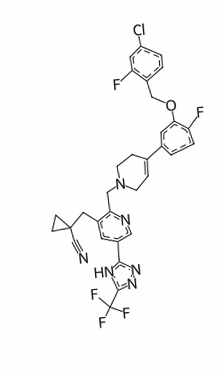 N#CC1(Cc2cc(-c3nnc(C(F)(F)F)[nH]3)cnc2CN2CC=C(c3ccc(F)c(OCc4ccc(Cl)cc4F)c3)CC2)CC1